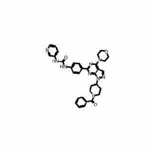 O=C(Nc1ccc(-c2nc(N3CCOCC3)c3cnn(C4CCN(C(=O)c5ccccc5)CC4)c3n2)cc1)Nc1cccnc1